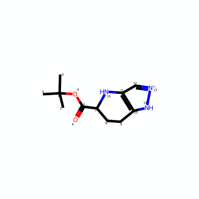 CC(C)(C)OC(=O)C1CCC2=C(C=[N+]N2)N1